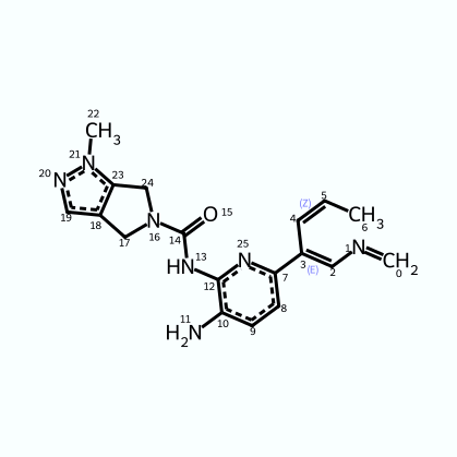 C=N/C=C(\C=C/C)c1ccc(N)c(NC(=O)N2Cc3cnn(C)c3C2)n1